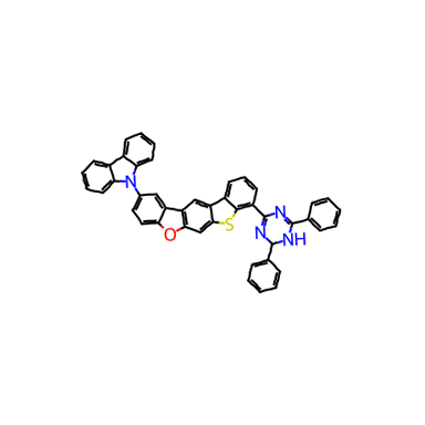 c1ccc(C2=NC(c3cccc4c3sc3cc5oc6ccc(-n7c8ccccc8c8ccccc87)cc6c5cc34)=NC(c3ccccc3)N2)cc1